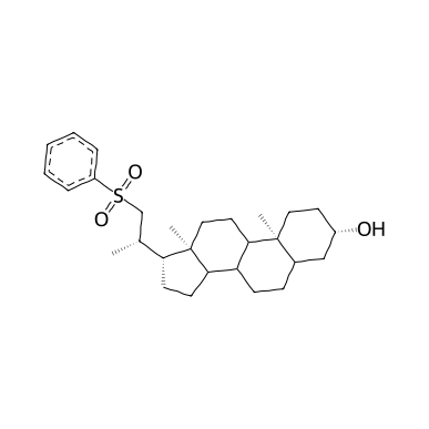 C[C@H](CS(=O)(=O)c1ccccc1)[C@H]1CCC2C3CCC4C[C@@H](O)CC[C@]4(C)C3CC[C@@]21C